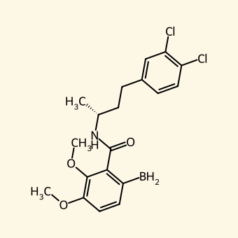 Bc1ccc(OC)c(OC)c1C(=O)N[C@H](C)CCc1ccc(Cl)c(Cl)c1